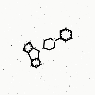 c1ccc(N2CCC([C@@H]3c4sccc4-c4cncn43)CC2)cc1